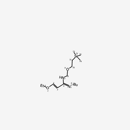 CCO/C=C/C(=N/[C@@H](C)CC)NCOCC[Si](C)(C)C